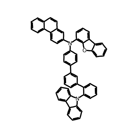 c1cc(-c2ccc(N(c3ccc4c(ccc5ccccc54)c3)c3cccc4c3oc3ccccc34)cc2)cc(-c2ccccc2-n2c3ccccc3c3ccccc32)c1